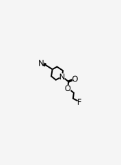 N#CC1CCN(C(=O)OCCF)CC1